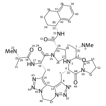 CN[C@@H](C)C(=O)N[C@@H](Cc1nnn2c1-c1c(C[C@H](NC(=O)[C@H](C)NC)C(=O)N3CCC[C@H]3C(=O)N[C@@H]3CCCc4ccccc43)nnn1CC2)C(=O)N1CCCC1